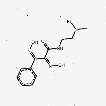 CCN(CC)CCNC(=O)C(=NO)C(=NO)c1ccccc1